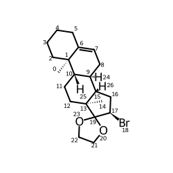 C[C@]12CCCCC1=CC[C@@H]1[C@@H]2CC[C@@]2(C)[C@H]1C[C@@H](Br)C21OCCO1